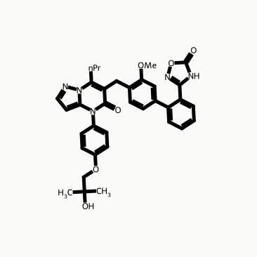 CCCc1c(Cc2ccc(-c3ccccc3-c3noc(=O)[nH]3)cc2OC)c(=O)n(-c2ccc(OCC(C)(C)O)cc2)c2ccnn12